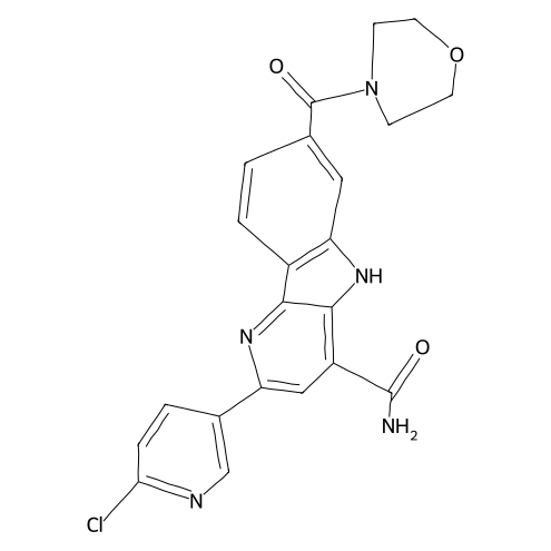 NC(=O)c1cc(-c2ccc(Cl)nc2)nc2c1[nH]c1cc(C(=O)N3CCOCC3)ccc12